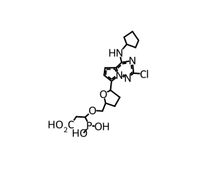 O=C(O)CC(OCC1CCC(c2ccc3c(NC4CCCC4)nc(Cl)nn23)O1)P(O)O